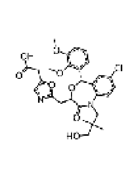 COc1cccc([C@H]2O[C@H](Cc3ncc(CC(=O)O)o3)C(=O)N(CC(C)(C)CO)c3ccc(Cl)cc32)c1OC